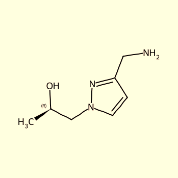 C[C@@H](O)Cn1ccc(CN)n1